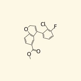 COC(=O)c1ccc2c(c1)C(c1cccc(F)c1Cl)=CCO2